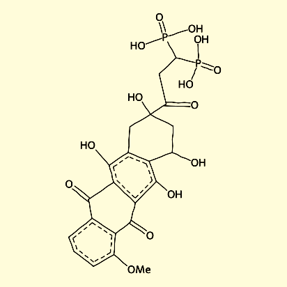 COc1cccc2c1C(=O)c1c(O)c3c(c(O)c1C2=O)CC(O)(C(=O)CC(P(=O)(O)O)P(=O)(O)O)CC3O